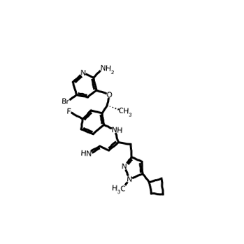 C[C@@H](Oc1cc(Br)cnc1N)c1cc(F)ccc1N/C(=C\C=N)Cc1cc(C2CCC2)n(C)n1